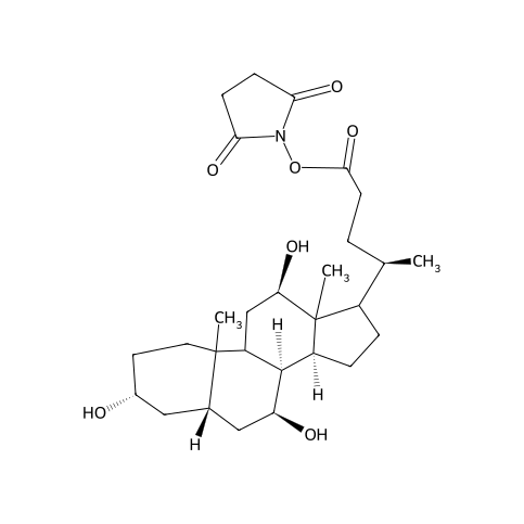 C[C@H](CCC(=O)ON1C(=O)CCC1=O)C1CC[C@H]2[C@@H]3C(C[C@@H](O)C12C)C1(C)CC[C@@H](O)C[C@H]1C[C@@H]3O